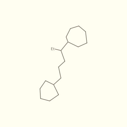 [CH2]CC(CCCC1CCCCC1)C1CCCCCC1